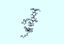 CC(=O)O.CCCCS(=O)(=O)N[C@@H](CNC(=O)CN1CCN(c2ccc(C(=N)N)cc2)CC1=O)C(=O)O